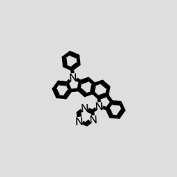 c1ccc(-n2c3ccccc3c3cc4c(ccc5c6ccccc6n(-c6ncncn6)c45)cc32)cc1